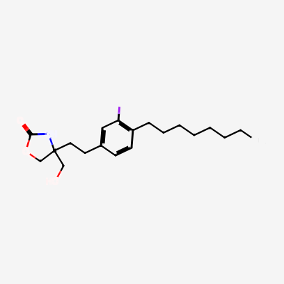 CCCCCCCCc1ccc(CCC2(CO)COC(=O)N2)cc1I